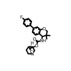 CC1(C)COc2cc(-c3ccc(F)cc3)ccc2C1NC(=O)O[C@H]1CN2CCC1CC2